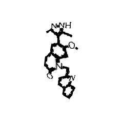 COc1cc2c(ccc(=O)n2Cc2ccc3ccccc3n2)cc1-c1c(C)n[nH]c1C